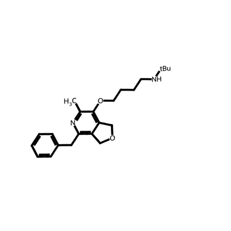 Cc1nc(Cc2ccccc2)c2c(c1OCCCCNC(C)(C)C)COC2